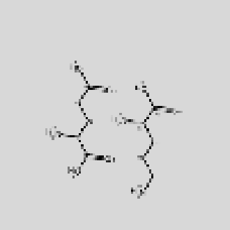 NC(CCC(=O)O)C(=O)O.NCCC[C@H](N)C(=O)O